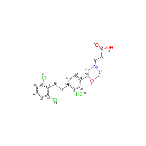 Cl.O=C(O)CCN1CCOC(c2ccc(CCc3c(Cl)cccc3Cl)cc2)C1